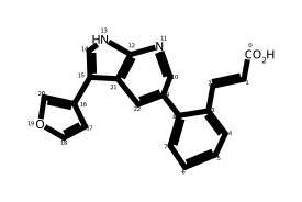 O=C(O)/C=C/c1ccccc1-c1cnc2[nH]cc(-c3ccoc3)c2c1